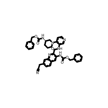 N#CCc1ccc2cc(NC(=O)OCc3ccccc3)c(C(=O)Nc3cnccc3N3CCC[C@H](NC(=O)OCc4ccccc4)C3)nc2c1